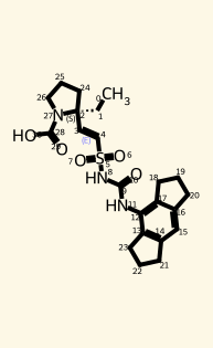 CC[C@@]1(/C=C/S(=O)(=O)NC(=O)Nc2c3c(cc4c2CCC4)CCC3)CCCN1C(=O)O